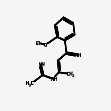 CCOc1ccccc1C(=N)/C=C(\C)NC(C)=N